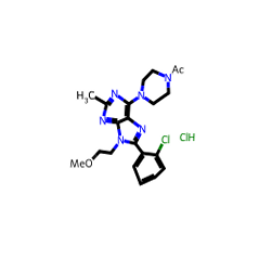 COCCn1c(-c2ccccc2Cl)nc2c(N3CCN(C(C)=O)CC3)nc(C)nc21.Cl